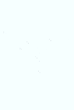 CN1CC[C@@H](NC(=O)C2(c3ccc(-c4cccc(F)c4F)nc3)CCN(c3ccc(C(F)(F)F)cc3C#N)CC2)C1